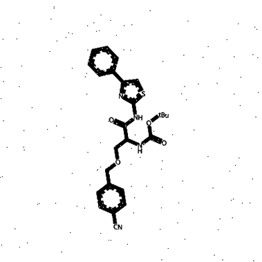 CC(C)(C)OC(=O)NC(COCc1ccc(C#N)cc1)C(=O)Nc1nc(-c2ccccc2)cs1